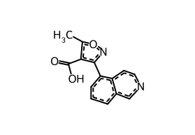 Cc1onc(-c2cccc3cnccc23)c1C(=O)O